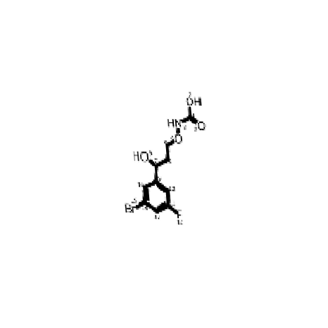 O=C(O)NOCCC(O)c1cc(F)cc(Br)c1